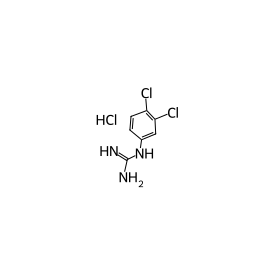 Cl.N=C(N)Nc1ccc(Cl)c(Cl)c1